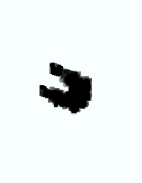 CC(OC(=O)OC(C)(C1c2ccccc2-c2ccccc21)C1CCc2nc3cc(Br)ccc3c(=O)n21)(C1c2ccccc2-c2ccccc21)C1CCc2nc3cc(Br)ccc3c(=O)n21